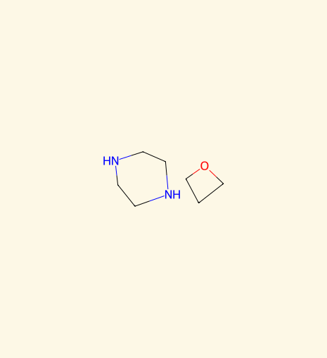 C1CNCCN1.C1COC1